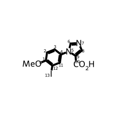 COc1ccc(-n2cncc2C(=O)O)cc1I